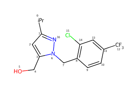 CC(C)c1cc(CO)n(Cc2ccc(C(F)(F)F)cc2Cl)n1